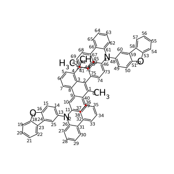 Cc1c2c3c(cccc3c3cc(N(c4ccc5oc6ccccc6c5c4)c4ccccc4-c4ccccc4)ccc13)C(C)(C)c1cc(N(c3ccc4oc5ccccc5c4c3)c3ccccc3-c3ccccc3)ccc1-2